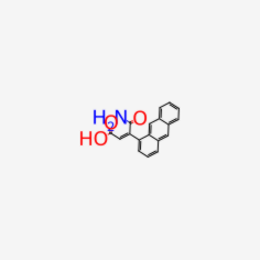 NC(=O)C(=CC(=O)O)c1cccc2cc3ccccc3cc12